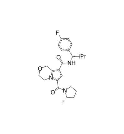 CC(C)C(NC(=O)c1cc(C(=O)N2CCC[C@@H]2C)n2c1COCC2)c1ccc(F)cc1